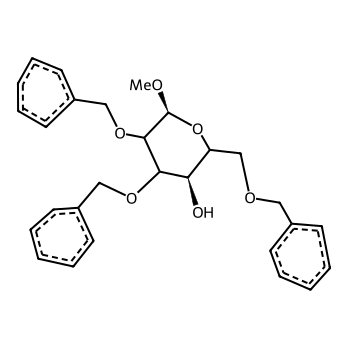 CO[C@H]1OC(COCc2ccccc2)[C@@H](O)C(OCc2ccccc2)C1OCc1ccccc1